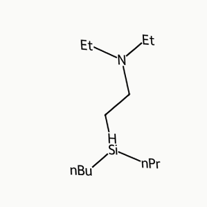 CCCC[SiH](CCC)CCN(CC)CC